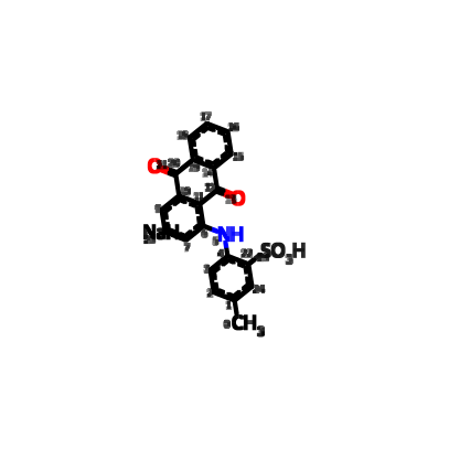 Cc1ccc(Nc2cccc3c2C(=O)c2ccccc2C3=O)c(S(=O)(=O)O)c1.[NaH]